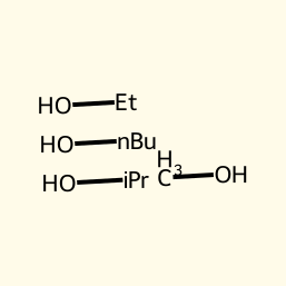 CC(C)O.CCCCO.CCO.CO